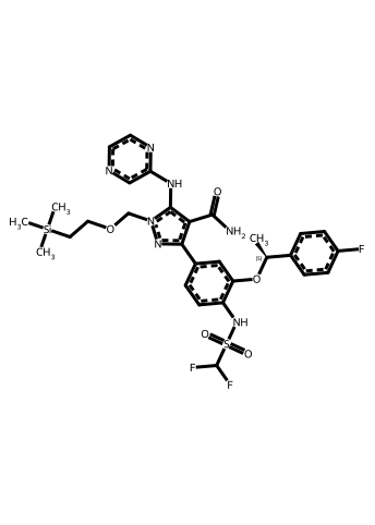 C[C@H](Oc1cc(-c2nn(COCC[Si](C)(C)C)c(Nc3cnccn3)c2C(N)=O)ccc1NS(=O)(=O)C(F)F)c1ccc(F)cc1